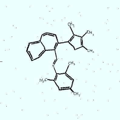 CC1=C(C)C(C)=C(c2ccc3ccccc3c2C=Nc2c(C)cc(C)cc2C)C1